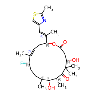 C/C1=C/C[C@@H](/C(C)=C/c2csc(C)n2)OC(=O)C[C@H](O)C(C)(C)C(=O)[C@H](C)[C@@H](O)[C@@H](C)CC[C@H]1F